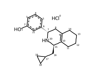 Cl.Oc1cccc([C@@H]2CC3=C(CCCC3)[C@@H](CC3CC3)N2)c1